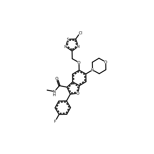 CNC(=O)c1c(-c2ccc(F)cc2)oc2cc(N3CCOCC3)c(OCc3nsc(Cl)n3)cc12